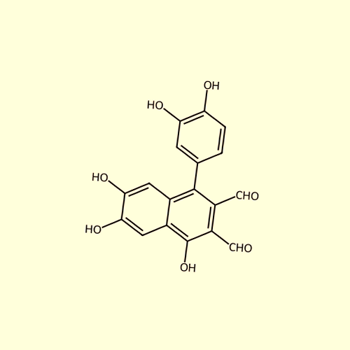 O=Cc1c(C=O)c(-c2ccc(O)c(O)c2)c2cc(O)c(O)cc2c1O